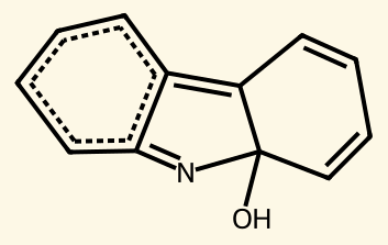 OC12C=CC=CC1=c1ccccc1=N2